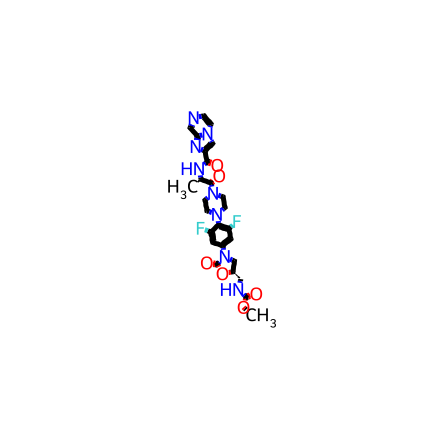 COC(=O)NC[C@H]1CN(c2cc(F)c(N3CCN(C(=O)[C@H](C)NC(=O)c4cn5ccncc5n4)CC3)c(F)c2)C(=O)O1